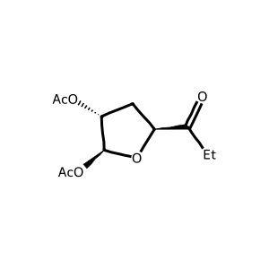 CCC(=O)[C@@H]1C[C@@H](OC(C)=O)[C@H](OC(C)=O)O1